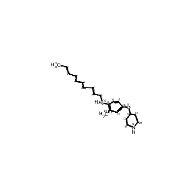 CCCCCCCCCC[AsH]c1ccc(OC2CCNCC2)cc1C